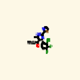 COC(=O)C1=C(C)NC(c2nccs2)=N[C@H]1c1ccc(F)c(F)c1Cl